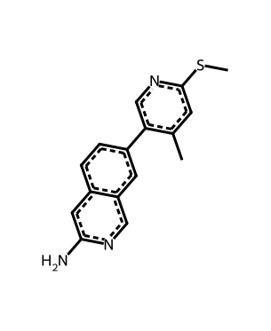 CSc1cc(C)c(-c2ccc3cc(N)ncc3c2)cn1